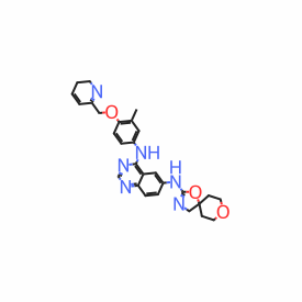 Cc1cc(Nc2ncnc3ccc(NC4=NCC5(CCOCC5)O4)cc23)ccc1OCC1=NCCC=C1